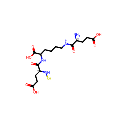 N[C@@H](CCC(=O)O)C(=O)NCCCCC(NC(=O)[C@H](CCC(=O)O)NS)C(=O)O